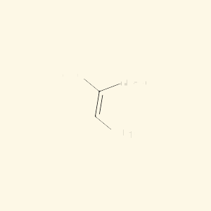 CCCCCCCC=C(C=O)CCCCCCC